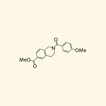 COC(=O)c1ccc2c(c1)CCN(C(=O)c1ccc(OC)cc1)C2